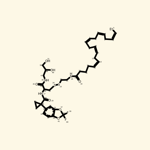 CC/C=C\C/C=C\C/C=C\C/C=C\C/C=C\CCCC(=O)NCCSSCC(NC(=O)C1(c2ccc3c(c2)OC(F)(F)O3)CC1)C(=O)NCC(O)CO